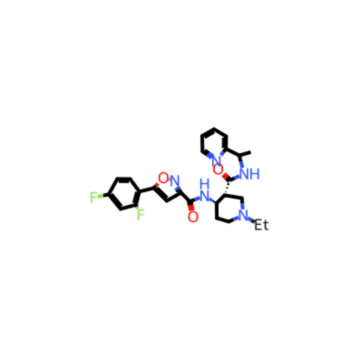 CCN1CC[C@@H](NC(=O)c2cc(-c3ccc(F)cc3F)on2)[C@H](C(=O)NC(C)c2ccccn2)C1